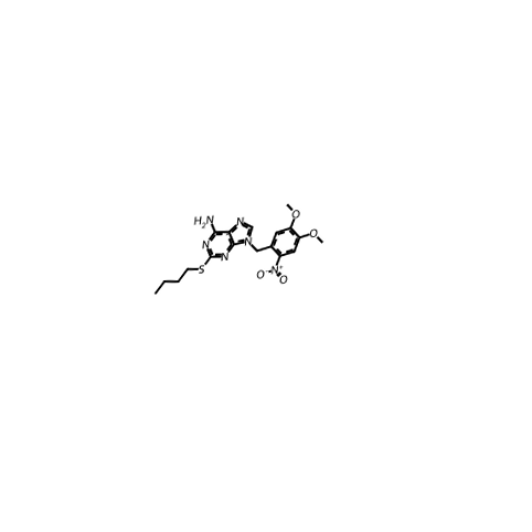 CCCCSc1nc(N)c2ncn(Cc3cc(OC)c(OC)cc3[N+](=O)[O-])c2n1